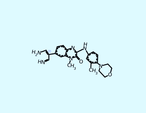 Cc1cc(Nc2nc3ccc(/C(C=N)=C/N)cc3n(C)c2=O)ccc1N1CCOCC1